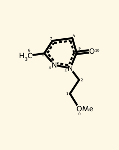 COCCn1nc(C)ccc1=O